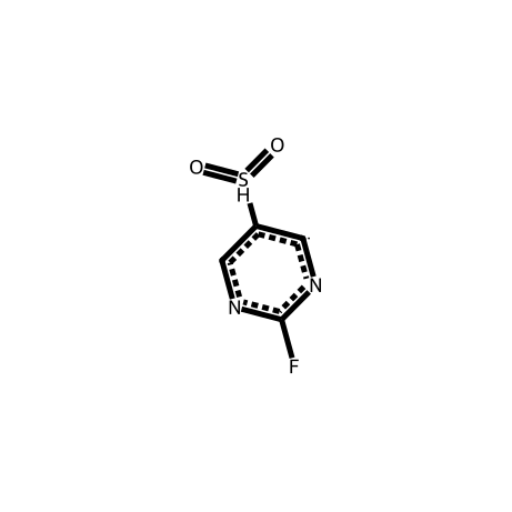 O=[SH](=O)c1[c]nc(F)nc1